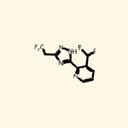 FC(F)c1cccnc1-c1nc(CC(F)(F)F)n[nH]1